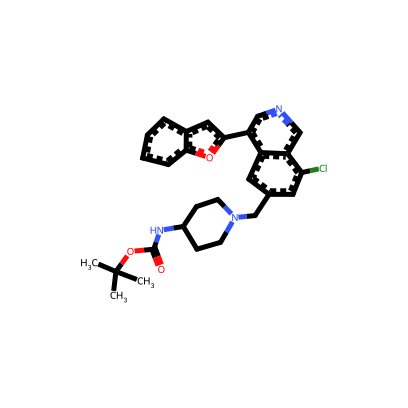 CC(C)(C)OC(=O)NC1CCN(Cc2cc(Cl)c3cncc(-c4cc5ccccc5o4)c3c2)CC1